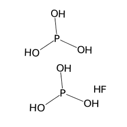 F.OP(O)O.OP(O)O